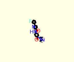 CN1CCN(C(=O)C2CCC(NC(=O)c3ccc(-c4cccc(F)c4)nc3)CC2)CC1